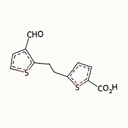 O=Cc1ccsc1CCc1ccc(C(=O)O)s1